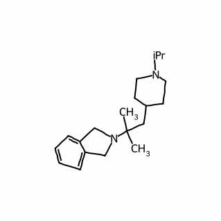 CC(C)N1CCC(CC(C)(C)N2Cc3ccccc3C2)CC1